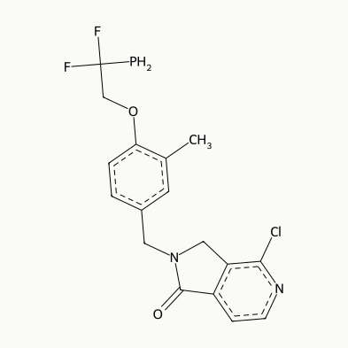 Cc1cc(CN2Cc3c(ccnc3Cl)C2=O)ccc1OCC(F)(F)P